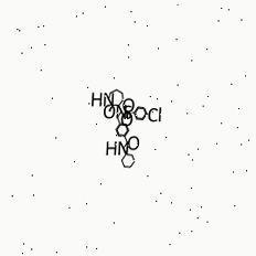 O=C(NC1CCCCC1)c1ccc(CN([C@@H]2CCCCNC2=O)S(=O)(=O)c2ccc(Cl)cc2)cc1